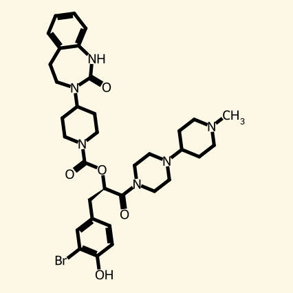 CN1CCC(N2CCN(C(=O)[C@@H](Cc3ccc(O)c(Br)c3)OC(=O)N3CCC(N4CCc5ccccc5NC4=O)CC3)CC2)CC1